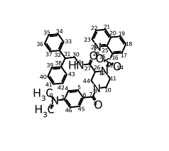 CN(C)c1ccc(C(=O)N2CCN(S(=O)(=O)c3cccc4cccnc34)C(C(=O)NCC(c3ccccc3)c3ccccc3)C2)cc1